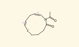 CC(=O)N1/C=C\C/C=C\CCCCC1=O